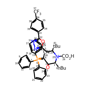 CCCC[C@@H](C(=O)C(C#N)=P(c1ccccc1)(c1ccccc1)c1ccccc1)N(C(=O)O)C(Cc1nnc(-c2ccc(C(F)(F)F)cc2)o1)C(C)(C)C